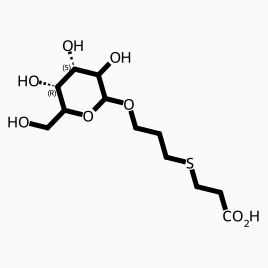 O=C(O)CCSCCCOC1OC(CO)[C@H](O)[C@H](O)C1O